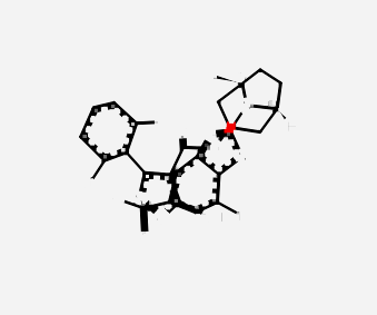 Cc1onc(-c2c(Cl)cccc2Cl)c1C(=O)OC1C[C@H]2CC[C@@H](C1)N2c1nc2c(F)cc(C(=O)O)cc2s1